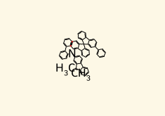 CC1(C)c2ccccc2-c2ccc(N(c3ccccc3-c3ccccc3)c3cccc4c3-c3ccccc3C43c4ccccc4-c4ccc(-c5ccccc5)cc43)cc21